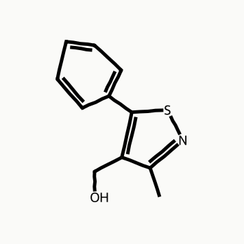 Cc1nsc(-c2ccccc2)c1CO